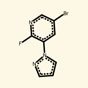 Fc1ncc(Br)cc1-n1cccn1